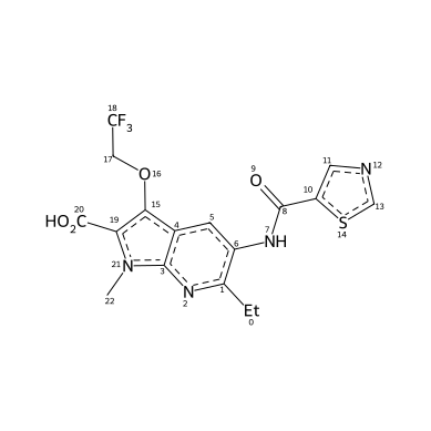 CCc1nc2c(cc1NC(=O)c1cncs1)c(OCC(F)(F)F)c(C(=O)O)n2C